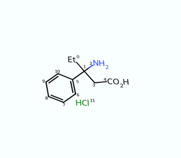 CCC(N)(CC(=O)O)c1ccccc1.Cl